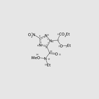 CCOC(=O)C(OCC)n1nc([N+](=O)[O-])nc1C(=O)N(CC)OC